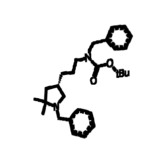 CC(C)(C)OC(=O)N(CCC[C@@H]1CN(Cc2ccccc2)C(C)(C)C1)Cc1ccccc1